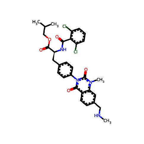 CNCc1ccc2c(=O)n(-c3ccc(C[C@H](NC(=O)c4c(Cl)cccc4Cl)C(=O)OCC(C)C)cc3)c(=O)n(C)c2c1